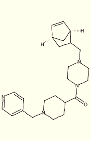 O=C(C1CCN(Cc2ccncc2)CC1)N1CCN(CC2C[C@H]3C=C[C@@H]2C3)CC1